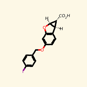 O=C(O)[C@H]1[C@@H]2Oc3cc(OCc4ccc(I)cc4)ccc3[C@@H]21